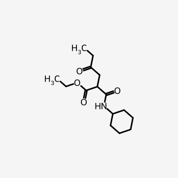 CCOC(=O)C(CC(=O)CC)C(=O)NC1CCCCC1